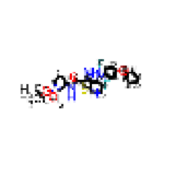 CC(C)(C)OC(=O)N1CCCC(NC(=O)c2sc3nccc(Nc4c(F)cc(Oc5ccccc5)cc4F)c3c2N)C1